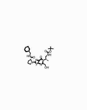 C[C@H](CNC(=O)OC(C)(C)C)n1c(CO)nc2sc(N3CCC[C@@H]3C(=O)NCc3ccccc3)nc2c1=O